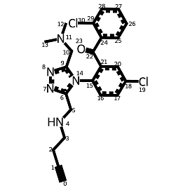 C#CCCNCc1nnc(CN(C)C)n1-c1ccc(Cl)cc1C(=O)c1ccccc1Cl